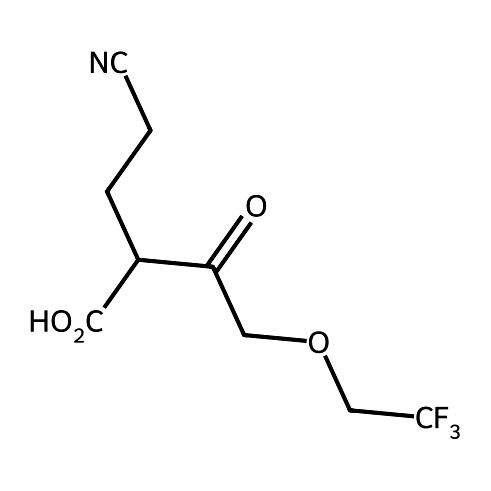 N#CCCC(C(=O)O)C(=O)COCC(F)(F)F